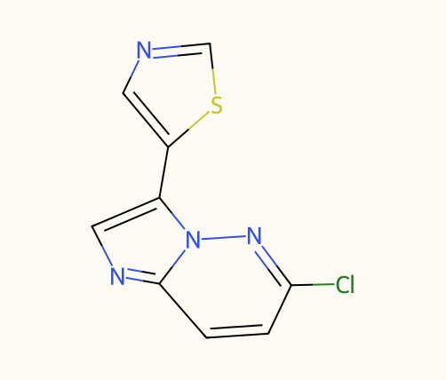 Clc1ccc2ncc(-c3cncs3)n2n1